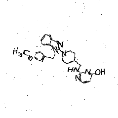 COc1ccc(Cn2c(N3CCC(CNc4nccc(O)n4)CC3)nc3ccccc32)cc1